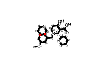 COc1cccc(CN2[C@@H](c3ccccn3)C(C(=O)O)=C(O)C[C@H]2c2ccccn2)c1